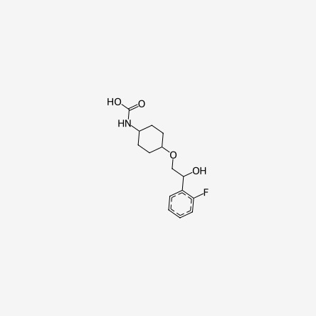 O=C(O)NC1CCC(OCC(O)c2ccccc2F)CC1